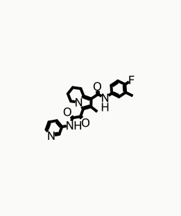 Cc1cc(NC(=O)c2c(C)c(C(=O)C(=O)Nc3cccnc3)n3c2CCCC3)ccc1F